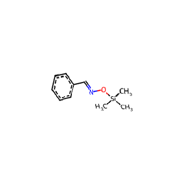 C[Si](C)(C)ON=Cc1ccccc1